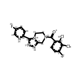 O=C(c1ccc(F)c(Cl)c1Cl)N1CCn2c(nnc2-c2ccc(F)cn2)C1